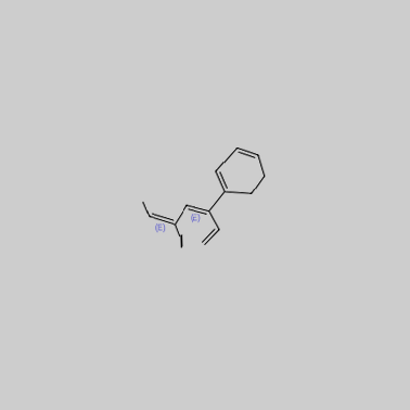 C=C/C(=C\C(I)=C/C)C1=CC=CCC1